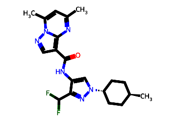 Cc1cc(C)n2ncc(C(=O)Nc3cn([C@H]4CC[C@H](C)CC4)nc3C(F)F)c2n1